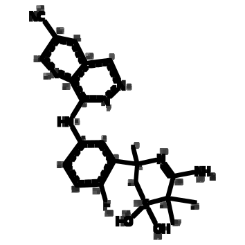 CC1(c2cc(Nc3nncc4cc(C#N)cnc34)ccc2F)CS(O)(O)C(C)(C)C(N)=N1